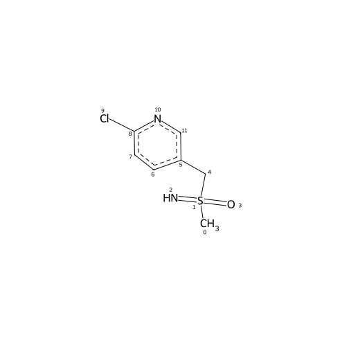 CS(=N)(=O)Cc1ccc(Cl)nc1